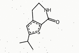 CC(C)c1cc2c(s1)C(=O)NCC2